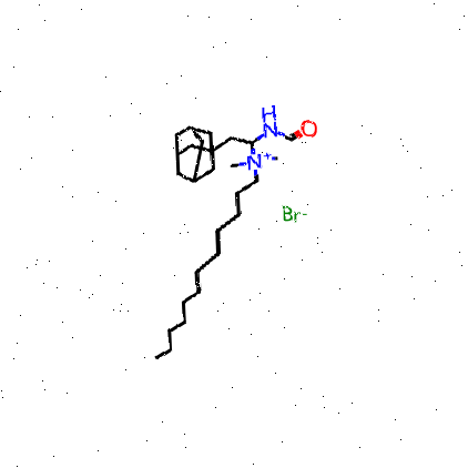 CCCCCCCCCCCC[N+](C)(C)C(CC12CC3CC(CC(C3)C1)C2)NC=O.[Br-]